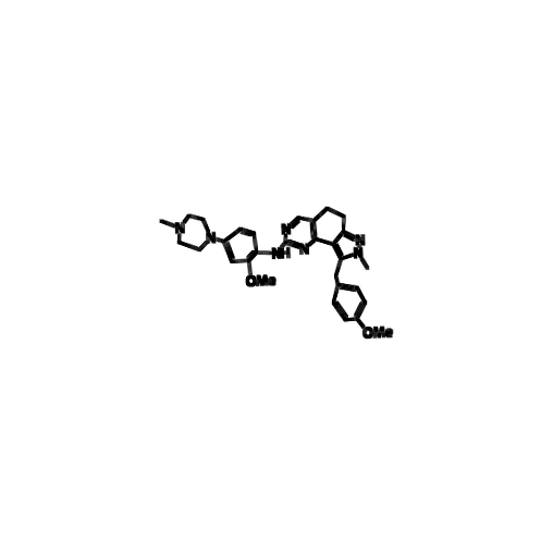 COc1ccc(Cc2c3c(nn2C)CCc2cnc(Nc4ccc(N5CCN(C)CC5)cc4OC)nc2-3)cc1